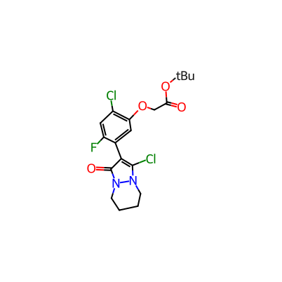 CC(C)(C)OC(=O)COc1cc(-c2c(Cl)n3n(c2=O)CCCC3)c(F)cc1Cl